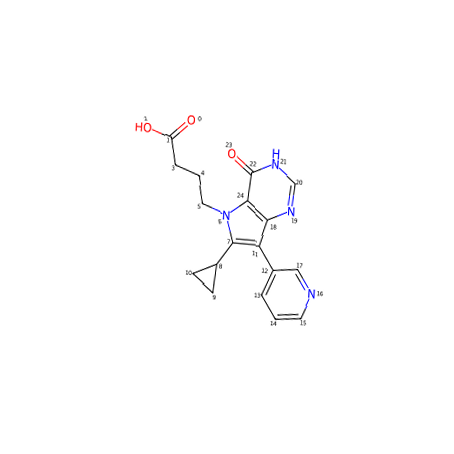 O=C(O)CCCn1c(C2CC2)c(-c2cccnc2)c2nc[nH]c(=O)c21